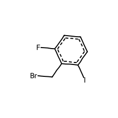 Fc1cccc(I)c1CBr